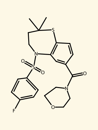 CC1(C)CCN(S(=O)(=O)c2ccc(F)cc2)c2cc(C(=O)N3CCOCC3)ccc2S1